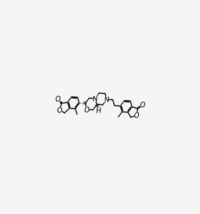 Cc1c(CCN2CCN3C[C@@H](c4ccc5c(c4C)COC5=O)OC[C@H]3C2)ccc2c1COC2=O